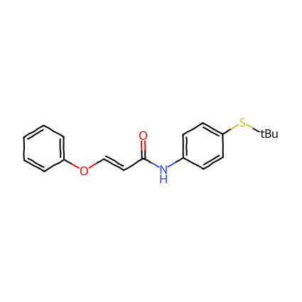 CC(C)(C)Sc1ccc(NC(=O)/C=C/Oc2ccccc2)cc1